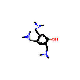 CN(C)Cc1cc(CN(C)C)c(CN(C)C)cc1O